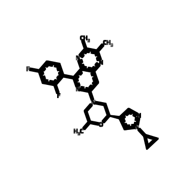 Cc1nc2cc(N3CC(C)O[C@H](c4cnn(C5CC5)c4)C3)nc(-c3ccc(F)cc3F)c2nc1C